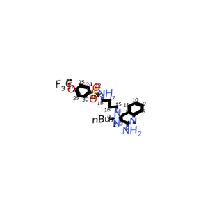 CCCCc1nc2c(N)nc3ccccc3c2n1CCCCNS(=O)(=O)c1ccc(OC(F)(F)F)cc1